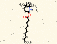 CN1C(OC(=O)CCCCCCCCC(=O)O)CCC(C)(C)C1(C)C